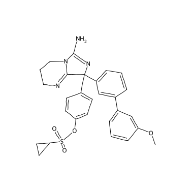 COc1cccc(-c2cccc(C3(c4ccc(OS(=O)(=O)C5CC5)cc4)N=C(N)N4CCCN=C43)c2)c1